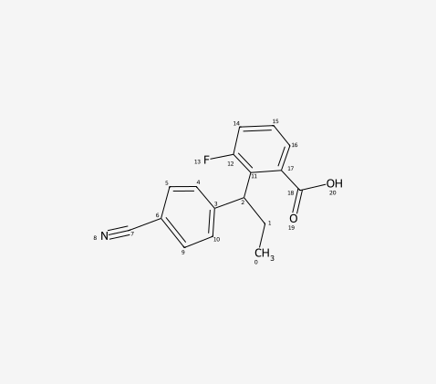 CCC(c1ccc(C#N)cc1)c1c(F)cccc1C(=O)O